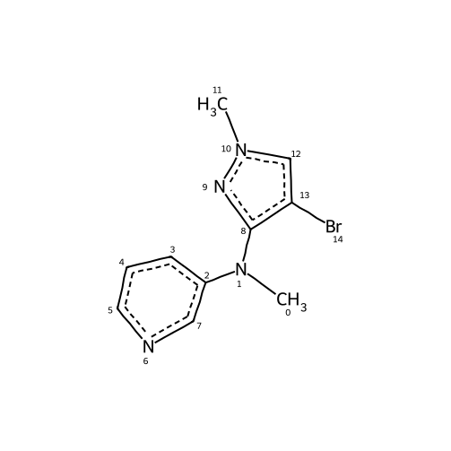 CN(c1cccnc1)c1nn(C)cc1Br